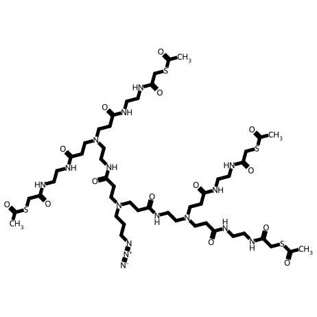 CC(=O)SCC(=O)NCCNC(=O)CCN(CCNC(=O)CCN(CCCN=[N+]=[N-])CCC(=O)NCCN(CCC(=O)NCCNC(=O)CSC(C)=O)CCC(=O)NCCNC(=O)CSC(C)=O)CCC(=O)NCCNC(=O)CSC(C)=O